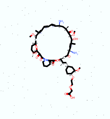 CO[C@H]1C[C@@H]2CC[C@@H](C)[C@@](O)(O2)C(=O)C(=O)N2CCCC[C@H]2C(=O)O[C@H]([C@@H](C)C[C@H]2CC[C@@H](OCCOCC(=O)O)[C@H](OC)C2)CC(=O)[C@H](N)/C=C(\C)[C@@H](O)[C@@H](OC)C(=O)[C@H](C)C[C@H](N)/C=C/C=C/C=C/1C